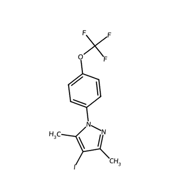 Cc1nn(-c2ccc(OC(F)(F)F)cc2)c(C)c1I